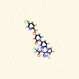 NC(NC(=O)C(F)(F)F)C1CCCN1c1ccc(-n2ccc(OCc3ccc(Cl)cn3)cc2=O)cn1